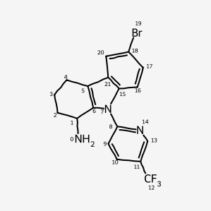 NC1CCCc2c1n(-c1ccc(C(F)(F)F)cn1)c1ccc(Br)cc21